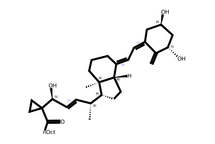 C=C1/C(=C\C=C2/CCC[C@]3(C)[C@@H]([C@H](C)/C=C/[C@H](O)C4(C(=O)CCCCCCCC)CC4)CC[C@@H]23)C[C@@H](O)C[C@@H]1O